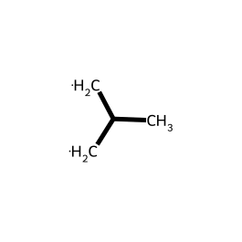 [CH2]C([CH2])C